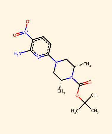 C[C@@H]1CN(c2ccc([N+](=O)[O-])c(N)n2)C[C@H](C)N1C(=O)OC(C)(C)C